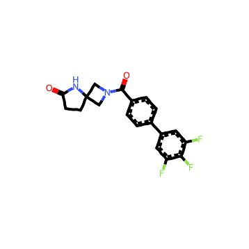 O=C1CCC2(CN(C(=O)c3ccc(-c4cc(F)c(F)c(F)c4)cc3)C2)N1